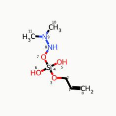 C=CCO[Si](O)(O)ONN(C)C